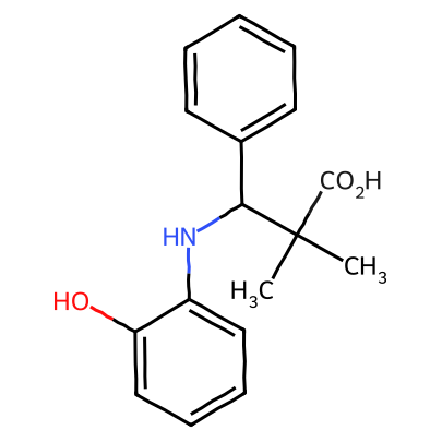 CC(C)(C(=O)O)C(Nc1ccccc1O)c1ccccc1